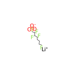 O=S(=O)([O-])CC(F)C(F)C(F)CCCCF.[Li+]